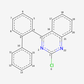 Clc1nc(-c2ccccc2-c2ccccc2)c2ccccc2n1